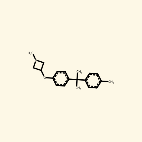 Cc1ccc(C(C)(C)c2ccc(OC3CN(C)C3)cc2)cc1